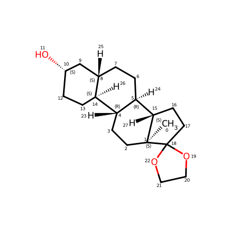 C[C@]12CC[C@H]3[C@@H](CC[C@H]4C[C@@H](O)CC[C@@H]43)[C@@H]1CCC21OCCO1